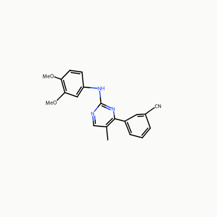 COc1ccc(Nc2ncc(C)c(-c3cccc(C#N)c3)n2)cc1OC